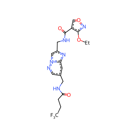 CCOc1nocc1C(=O)NCc1cn2ncc(CNC(=O)CCC(F)(F)F)cc2n1